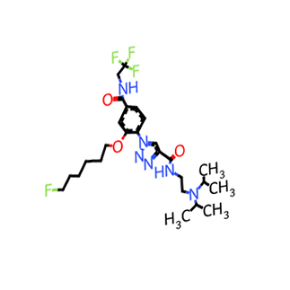 CC(C)N(CCNC(=O)c1cn(-c2ccc(C(=O)NCC(F)(F)F)cc2OCCCCCCF)nn1)C(C)C